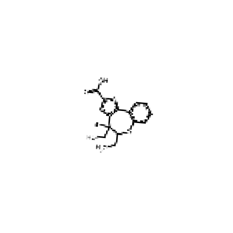 CCC1Oc2ccccc2-c2nc(C(=O)O)sc2C1(Br)CO